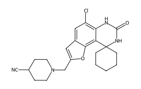 N#CC1CCN(Cc2cc3cc(Cl)c4c(c3o2)C2(CCCCC2)NC(=O)N4)CC1